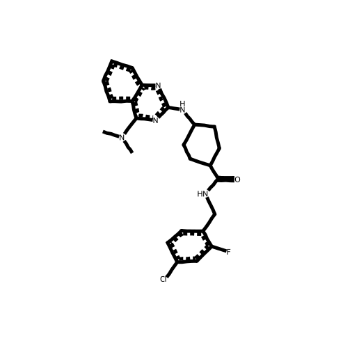 CN(C)c1nc(NC2CCC(C(=O)NCc3ccc(Cl)cc3F)CC2)nc2ccccc12